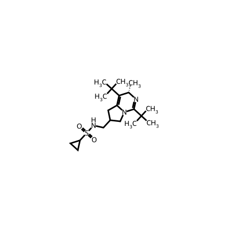 C[C@@H]1N=C(C(C)(C)C)N2CC(CNS(=O)(=O)C3CC3)CC2=C1C(C)(C)C